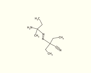 CCC(C)(N)N=NC(C#N)(CC)CC